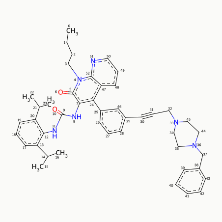 CCCCn1c(=O)c(NC(=O)Nc2c(C(C)C)cccc2C(C)C)c(-c2cccc(C#CCN3CCN(Cc4ccccc4)CC3)c2)c2cccnc21